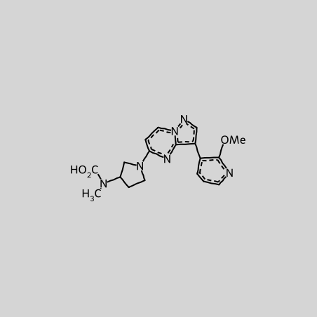 COc1ncccc1-c1cnn2ccc(N3CCC(N(C)C(=O)O)C3)nc12